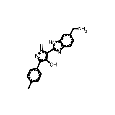 Cc1ccc(-c2n[nH]c(-c3nc4ccc(CN)cc4[nH]3)c2O)cc1